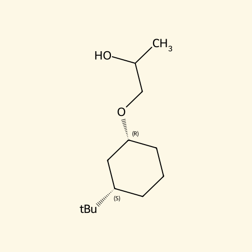 CC(O)CO[C@@H]1CCC[C@H](C(C)(C)C)C1